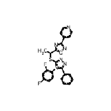 CC(Sc1nnc(-c2ccccc2)n1-c1ccc(F)cc1F)c1nc(-c2ccncc2)no1